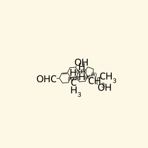 CC(CO)[C@H]1CC[C@H]2[C@@H]3C(O)CC4=CC(C=O)CC[C@]4(C)[C@H]3CC[C@]12C